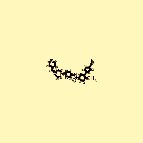 Cc1ccc(C(=O)Nc2ccc(N3CCCN(Cc4ccncc4)CC3)nc2)cc1-c1ccc(C#N)cc1